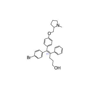 CN1CCCC1COc1ccc(/C(=C(/CCCO)c2ccccc2)c2ccc(Br)cc2)cc1